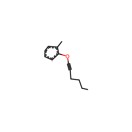 CCCCC#COc1[c]cccc1C